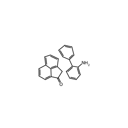 Nc1ccccc1-c1ccccc1.O=C1Cc2cccc3cccc1c23